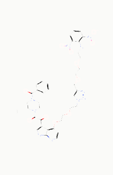 C[C@@H]1CN(C(=O)c2ccccc2)CCN1C(=O)C(=O)c1c[nH]c2nccc(OCCOCCn3cc(COCCOCCNc4c([N+](=O)[O-])cccc4[N+](=O)[O-])nn3)c12